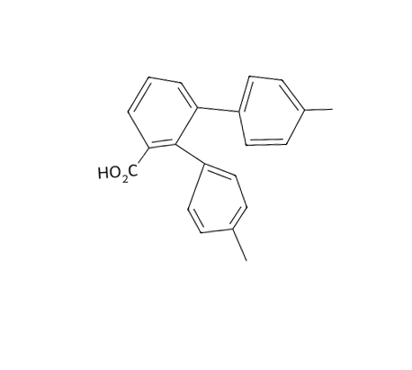 Cc1ccc(-c2cccc(C(=O)O)c2-c2ccc(C)cc2)cc1